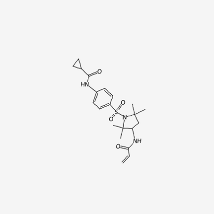 C=CC(=O)NC1CC(C)(C)N(S(=O)(=O)c2ccc(NC(=O)C3CC3)cc2)C1(C)C